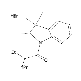 Br.CCCC(CC)C(=O)N1c2ccccc2C(C)(C)C1C